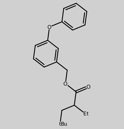 CCC(CC(C)(C)C)C(=O)OCc1cccc(Oc2ccccc2)c1